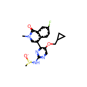 Cn1cc(-c2nc(N[S+](C)[O-])ncc2OCC2CC2)c2ccc(F)cc2c1=O